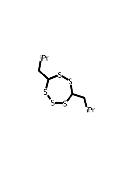 CC(C)CC1SSSC(CC(C)C)SS1